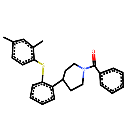 Cc1ccc(Sc2ccccc2C2CCN(C(=O)c3ccccc3)CC2)c(C)c1